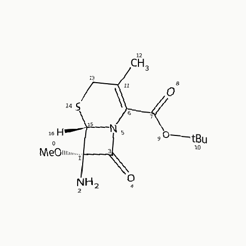 CO[C@@]1(N)C(=O)N2C(C(=O)OC(C)(C)C)=C(C)CS[C@H]21